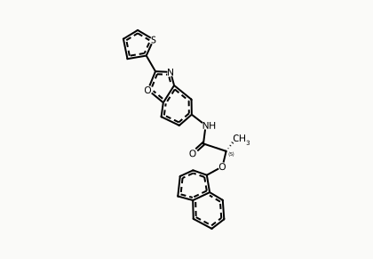 C[C@H](Oc1cccc2ccccc12)C(=O)Nc1ccc2oc(-c3cccs3)nc2c1